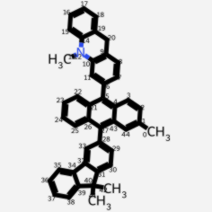 Cc1ccc2c(-c3ccc4c(c3)N(C)c3ccccc3C4)c3ccccc3c(-c3ccc4c(c3)-c3ccccc3C4(C)C)c2c1